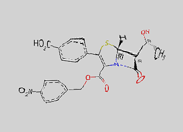 C[C@@H](O)[C@H]1C(=O)N2C(C(=O)OCc3ccc([N+](=O)[O-])cc3)=C(c3ccc(C(=O)O)cc3)S[C@H]12